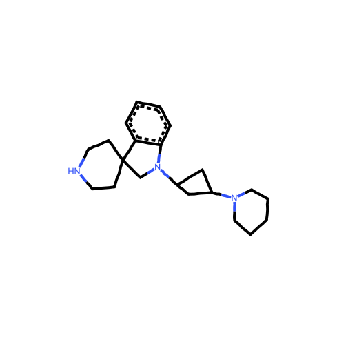 c1ccc2c(c1)N(C1CC(N3CCCCC3)C1)CC21CCNCC1